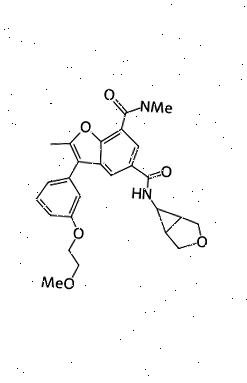 CNC(=O)c1cc(C(=O)NC2C3COCC32)cc2c(-c3cccc(OCCOC)c3)c(C)oc12